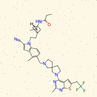 CCC(=O)NC12CC(CCn3c(C#N)cc4c(C)c(CN5CCC6(CCN(c7nc(C)nc8sc(CC(F)(F)F)cc78)C6)C5)ccc43)(C1)[C@@H]2C